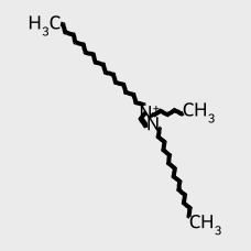 CCCCCCCCCCCCCCCCCC[n+]1ccn(CCCCCCCCCCCCCCC)c1CCCCC